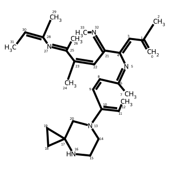 C=C(C)/C=C(\N=C(C)/C=C\C(=C/C)N1CCNC2(CC2)C1)C(/C=C(C)\C(C)=N\C(C)=C/C)=N/C